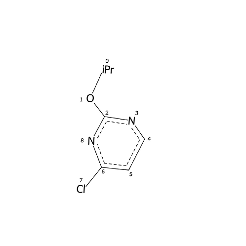 CC(C)Oc1nccc(Cl)n1